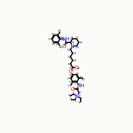 CC[N+](CC)(CC)CC(=O)Nc1c(C)cc(OC(=O)CCCCCN2CCCCC2C(=O)Nc2c(C)cccc2C)cc1C